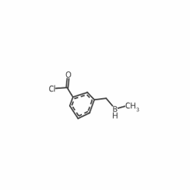 CBCc1cccc(C(=O)Cl)c1